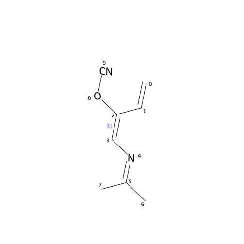 C=C/C(=C\N=C(C)C)OC#N